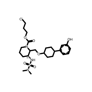 CN(C)S(=O)(=O)N[C@H]1CCCN(C(=O)OCCCCl)C1COC1CCC(c2cccc(O)c2)CC1